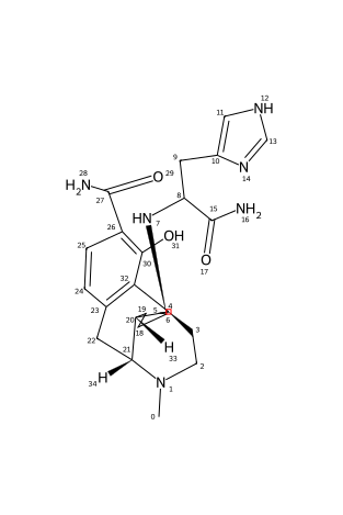 CN1CC[C@]23C[C@H](NC(Cc4c[nH]cn4)C(N)=O)CC[C@H]2[C@H]1Cc1ccc(C(N)=O)c(O)c13